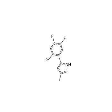 Cc1c[nH]c(-c2cc(F)c(F)cc2C(C)C)c1